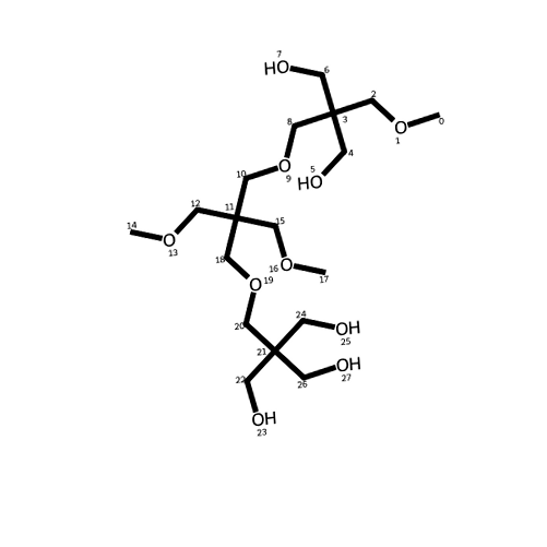 COCC(CO)(CO)COCC(COC)(COC)COCC(CO)(CO)CO